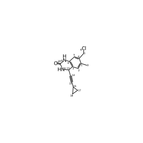 Cc1cc2c(cc1CCl)NC(=O)NC2C#CC1CC1